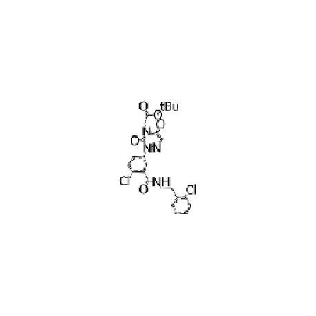 CC(C)(C)OC(=O)Cn1c(=O)cnn(-c2ccc(Cl)c(C(=O)NCCc3ccccc3Cl)c2)c1=O